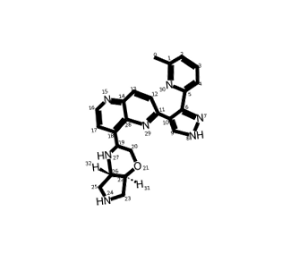 Cc1cccc(-c2n[nH]cc2-c2ccc3nccc(C4CO[C@H]5CNC[C@@H]5N4)c3n2)n1